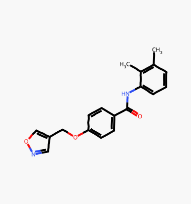 Cc1cccc(NC(=O)c2ccc(OCc3cnoc3)cc2)c1C